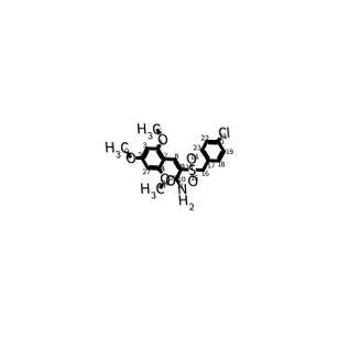 COc1cc(OC)c(/C=C(\C(N)=O)S(=O)(=O)Cc2ccc(Cl)cc2)c(OC)c1